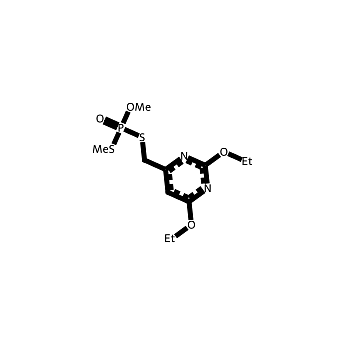 CCOc1cc(CSP(=O)(OC)SC)nc(OCC)n1